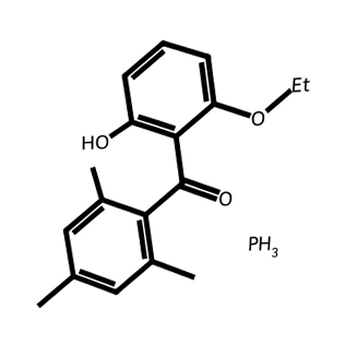 CCOc1cccc(O)c1C(=O)c1c(C)cc(C)cc1C.P